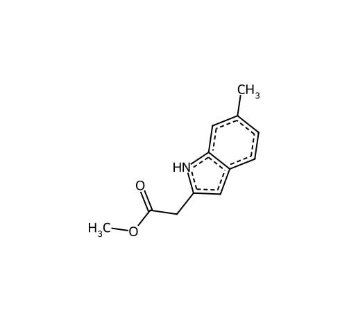 COC(=O)Cc1cc2ccc(C)cc2[nH]1